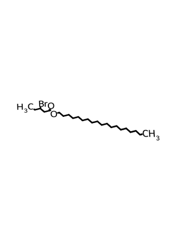 CCCCCCCCCCCCCCCCCCCOC(=O)CC(Br)CC